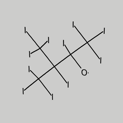 [O]C(I)(C(I)(I)I)C(I)(C(I)(I)I)C(I)(I)I